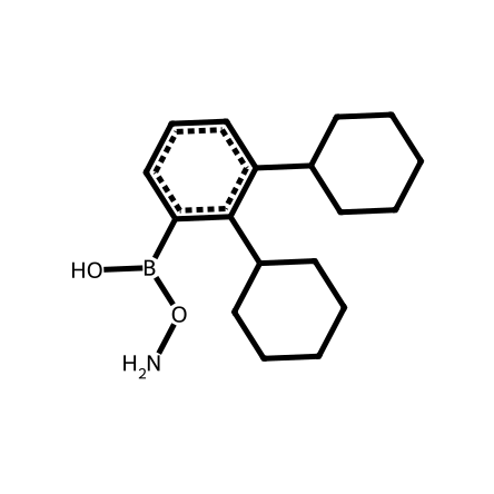 NOB(O)c1cccc(C2CCCCC2)c1C1CCCCC1